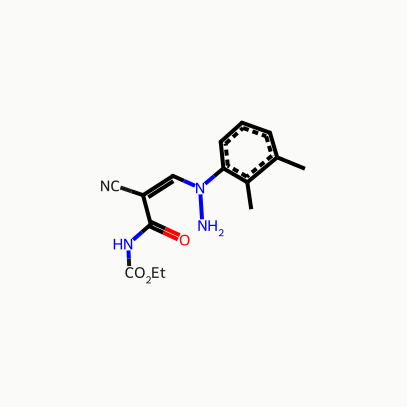 CCOC(=O)NC(=O)/C(C#N)=C\N(N)c1cccc(C)c1C